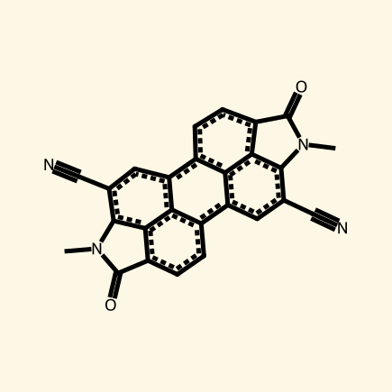 CN1C(=O)c2ccc3c4cc(C#N)c5c6c(ccc(c7cc(C#N)c1c2c37)c64)C(=O)N5C